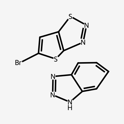 Brc1cc2snnc2s1.c1ccc2[nH]nnc2c1